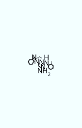 CCc1nc2ccccc2n1-c1cc(N)nc(Nc2ccccc2C)n1